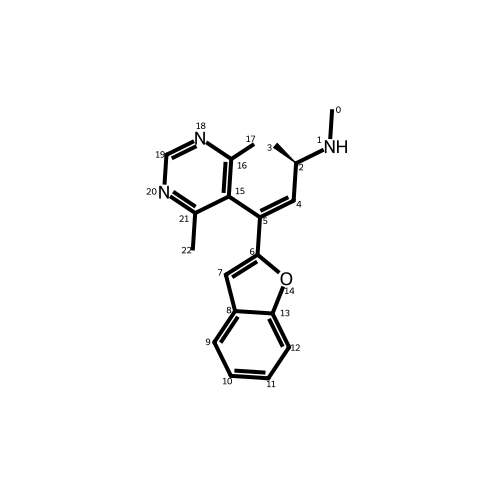 CN[C@H](C)/C=C(/c1cc2ccccc2o1)c1c(C)ncnc1C